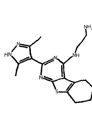 Cc1n[nH]c(C)c1-c1nc(NCCN)c2c3c(sc2n1)CCCC3